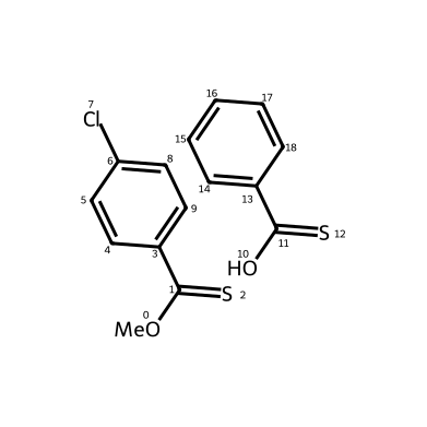 COC(=S)c1ccc(Cl)cc1.OC(=S)c1ccccc1